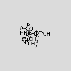 C#CCn1cc(NC(=O)[C@@H](NC(=O)c2ccnn2C(C)C)C(C2CC2)C2CC2)cn1